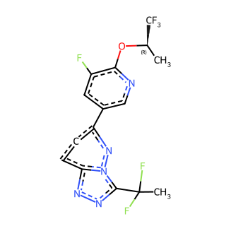 C[C@@H](Oc1ncc(-c2ccc3nnc(C(C)(F)F)n3n2)cc1F)C(F)(F)F